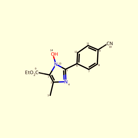 CCOC(=O)c1c(C)nc(-c2ccc(C#N)cc2)n1O